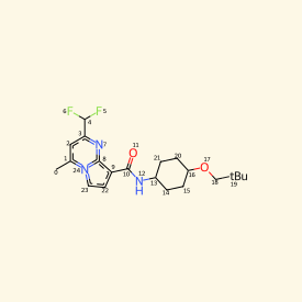 Cc1cc(C(F)F)nc2c(C(=O)NC3CCC(OCC(C)(C)C)CC3)ccn12